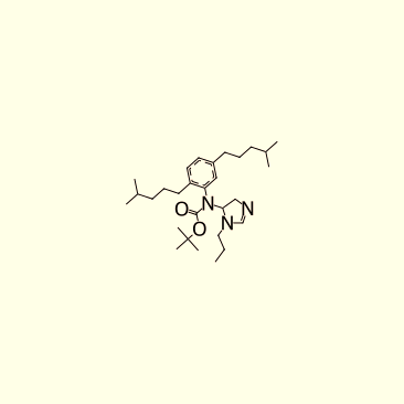 CCCN1C=NCC1N(C(=O)OC(C)(C)C)c1cc(CCCC(C)C)ccc1CCCC(C)C